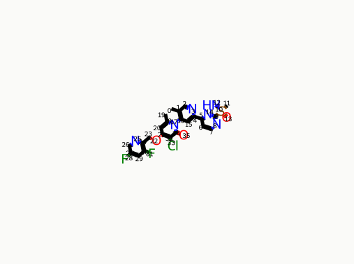 Cc1cnc(-c2ccnc(S(C)(=N)=O)n2)cc1-n1c(C)cc(OCc2ncc(F)cc2F)c(Cl)c1=O